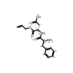 C=CCOC(=O)[C@H](CC(=O)O)NC(=O)[C@@H](N)Cc1ccccc1